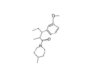 CCC(c1cccc(OC)c1)C(C)C(=O)N1CCC(C)CC1